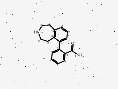 NC(=O)c1ccccc1-c1cccc2c1CCNCC2